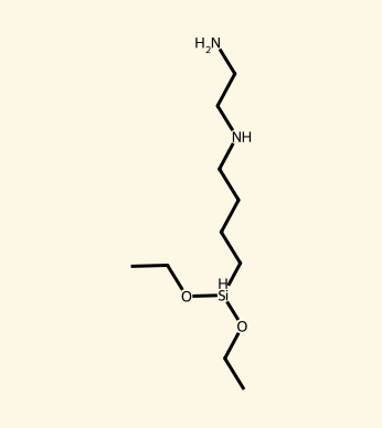 CCO[SiH](CCCCNCCN)OCC